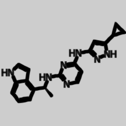 C[C@H](Nc1nccc(Nc2cc(C3CC3)[nH]n2)n1)c1cccc2[nH]ccc12